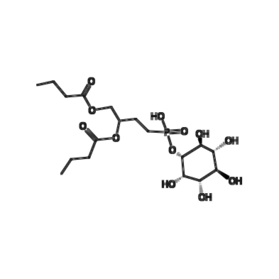 CCCC(=O)OCC(CCP(=O)(O)O[C@@H]1[C@@H](O)[C@H](O)[C@@H](O)[C@H](O)[C@@H]1O)OC(=O)CCC